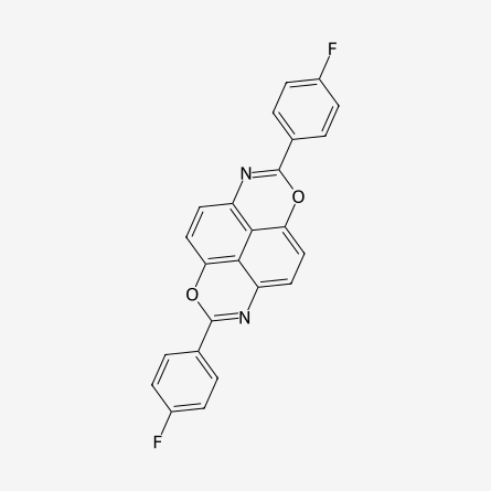 Fc1ccc(C2=Nc3ccc4c5c(ccc(c35)O2)N=C(c2ccc(F)cc2)O4)cc1